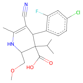 COCC1NC(C)=C(C#N)C(c2ccc(Cl)cc2F)C1(C(=O)O)C(C)C